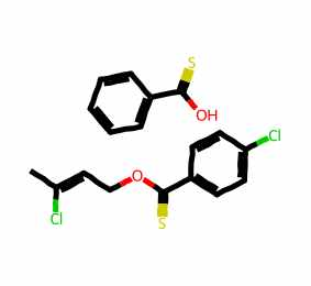 CC(Cl)=CCOC(=S)c1ccc(Cl)cc1.OC(=S)c1ccccc1